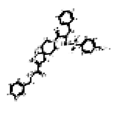 Cc1ccc(S(=O)(=O)NC(Cc2ccccc2)C(=O)N2CCC3(CC2)CC(C(=O)NCc2cccnc2)=NO3)cc1